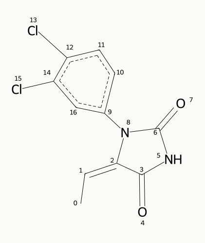 CC=C1C(=O)NC(=O)N1c1ccc(Cl)c(Cl)c1